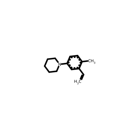 C=Cc1cc(N2CCCCC2)ccc1C